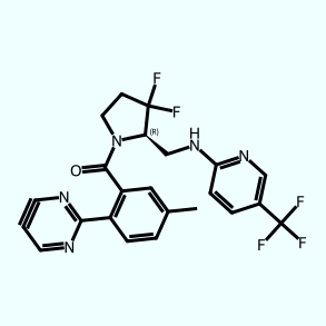 Cc1ccc(-c2nc#ccn2)c(C(=O)N2CCC(F)(F)[C@H]2CNc2ccc(C(F)(F)F)cn2)c1